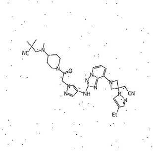 CCc1cnn(C2(CC#N)CN(c3cccn4nc(Nc5cnn(CC(=O)N6CCC(N(C)CC(C)(C)C#N)CC6)c5)nc34)C2)c1